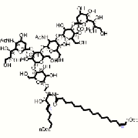 CCCCCCCC/C=C\CCCCCCCCCCCCCC(=O)N[C@@H](CO[C@@H]1OC(CO)[C@@H](O[C@@H]2OC(CO)[C@H](O[C@@H]3OC(CO)[C@H](O)[C@H](O[C@@H]4OC(CO)[C@H](O)[C@H](O[C@]5(C(=O)O)CC(O)[C@@H](O)C([C@H](O)[C@H](O)CO)O5)C4O)C3NC(C)=O)[C@H](O[C@]3(C(=O)O)CC(O)[C@@H](NC(C)=O)C([C@H](O)[C@H](O)CO)O3)C2O)[C@H](O)C1O)[C@H](O)/C=C/CCCCCCCCCCCCC